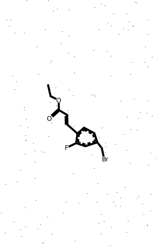 CCOC(=O)/C=C/c1ccc(CBr)cc1F